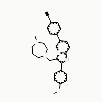 COc1ccc(-c2nc3ccc(-c4ccc(C#N)cc4)cn3c2CN2CCCN(C)CC2)cc1